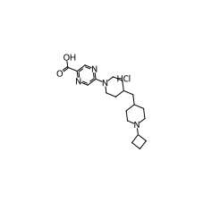 Cl.O=C(O)c1cnc(N2CCC(CC3CCN(C4CCC4)CC3)CC2)cn1